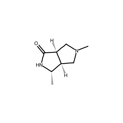 C[C@@H]1NC(=O)[C@H]2CN(C)C[C@@H]12